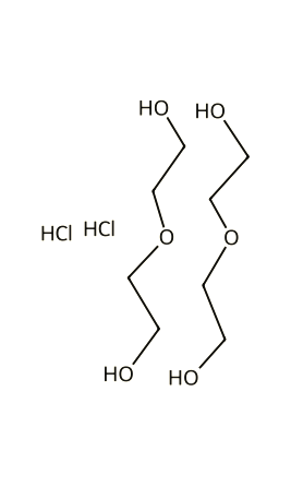 Cl.Cl.OCCOCCO.OCCOCCO